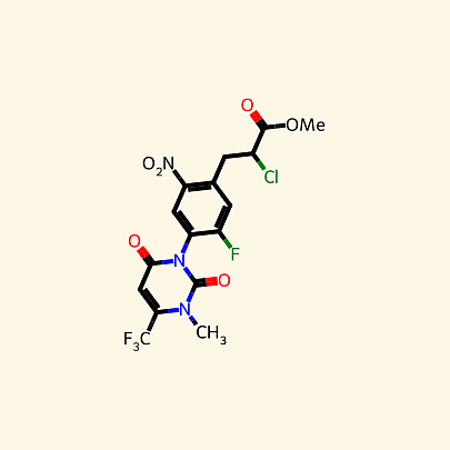 COC(=O)C(Cl)Cc1cc(F)c(-n2c(=O)cc(C(F)(F)F)n(C)c2=O)cc1[N+](=O)[O-]